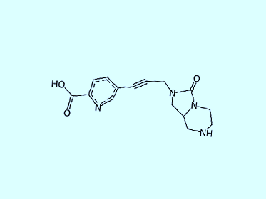 O=C(O)c1ccc(C#CCN2CC3CNCCN3C2=O)cn1